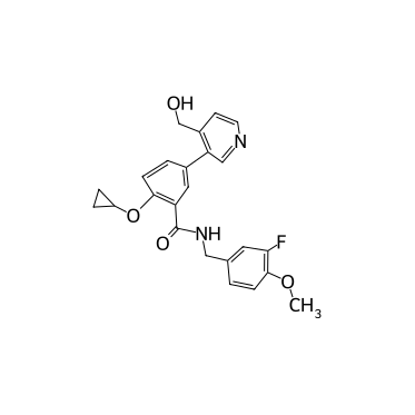 COc1ccc(CNC(=O)c2cc(-c3cnccc3CO)ccc2OC2CC2)cc1F